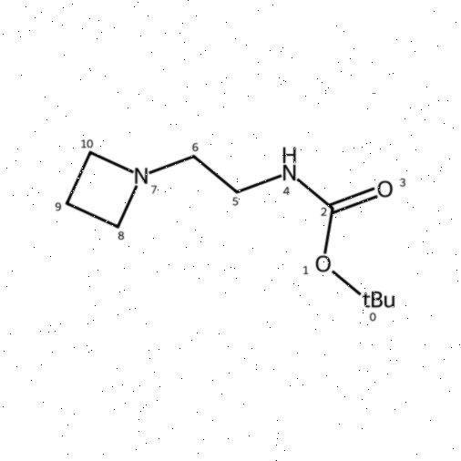 CC(C)(C)OC(=O)NCCN1CCC1